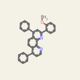 BOc1ccccc1-c1cc(-c2ccccc2)c2ccc3c(-c4ccccc4)ccnc3c2n1